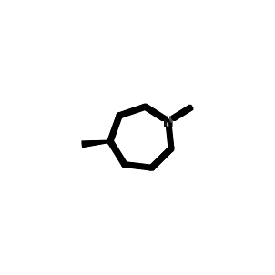 C[C@@H]1CCCN(C)CC1